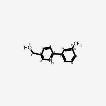 OCc1ccc(-c2cccc(C(F)(F)F)c2)nc1